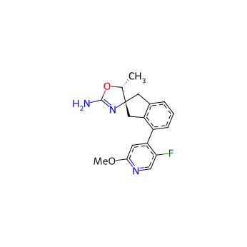 COc1cc(-c2cccc3c2C[C@@]2(C3)N=C(N)O[C@@H]2C)c(F)cn1